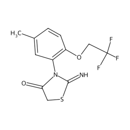 Cc1ccc(OCC(F)(F)F)c(N2C(=N)SCC2=O)c1